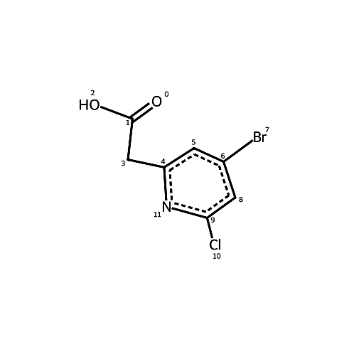 O=C(O)Cc1cc(Br)cc(Cl)n1